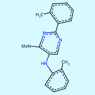 CNc1nc(-c2ccccc2C)ncc1Nc1ccccc1C